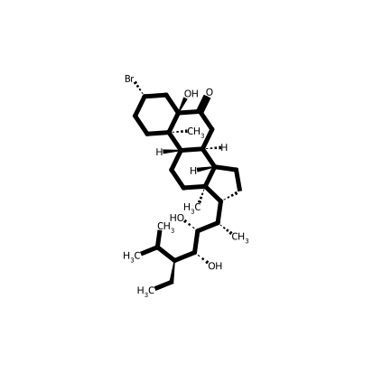 CC[C@@H](C(C)C)[C@@H](O)[C@H](O)[C@@H](C)[C@H]1CC[C@H]2[C@@H]3CC(=O)[C@@]4(O)C[C@@H](Br)CC[C@]4(C)[C@H]3CC[C@]12C